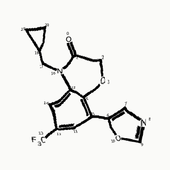 O=C1COc2c(-c3cnco3)cc(C(F)(F)F)cc2N1CC1CC1